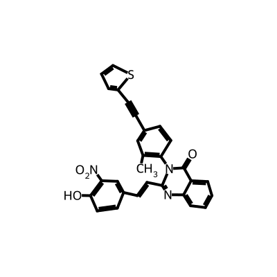 Cc1cc(C#Cc2cccs2)ccc1-n1c(/C=C/c2ccc(O)c([N+](=O)[O-])c2)nc2ccccc2c1=O